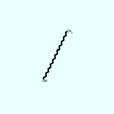 CCCCCCCC/C=C/CCCCCCCCCCCCO